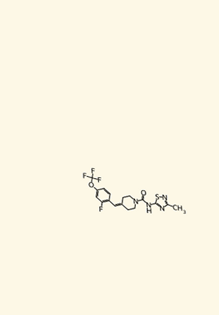 Cc1nsc(NC(=O)N2CCC(=Cc3ccc(OC(F)(F)F)cc3F)CC2)n1